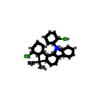 CC1(C)c2ccc3c4ccccc4n(-c4ccccc4Cl)c3c2-c2cccc(Cl)c21